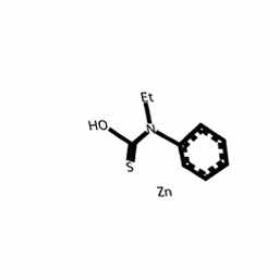 CCN(C(O)=S)c1ccccc1.[Zn]